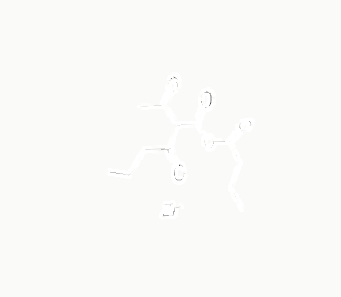 CCCC(=O)OC(=O)C(C(C)=O)C(=O)CCC.[Zr]